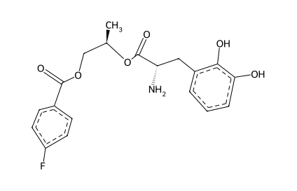 C[C@H](COC(=O)c1ccc(F)cc1)OC(=O)[C@@H](N)Cc1cccc(O)c1O